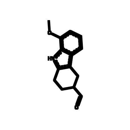 COc1cccc2c3c([nH]c12)CCC(C=O)C3